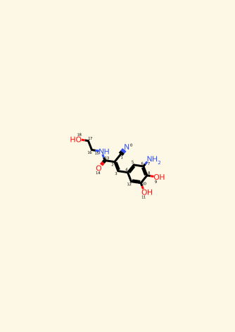 N#C/C(=C\c1cc(N)c(O)c(O)c1)C(=O)NCCO